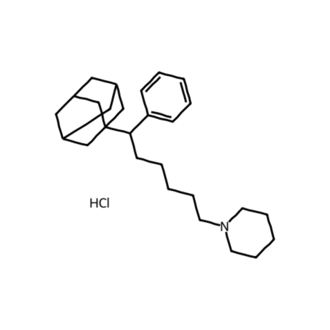 Cl.c1ccc(C(CCCCCN2CCCCC2)C23CC4CC(CC(C4)C2)C3)cc1